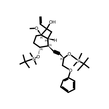 C=CC1(O)C[C@@H]2[C@@H](C#C[C@H](COc3ccccc3)O[Si](C)(C)C(C)(C)C)[C@H](O[Si](C)(C)C(C)(C)C)CC[C@@]21OC